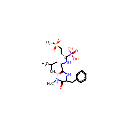 CNC(=O)C(Cc1ccccc1)NC(=O)[C@H](CC(C)C)N[C@H](CCS(C)(=O)=O)P(=O)(O)O